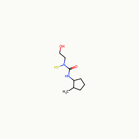 CC1CCCC1NC(=O)N(S)CCO